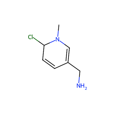 CN1C=C(CN)C=CC1Cl